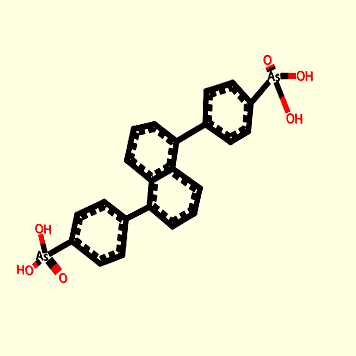 O=[As](O)(O)c1ccc(-c2cccc3c(-c4ccc([As](=O)(O)O)cc4)cccc23)cc1